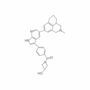 CN1Cc2cc(-c3cnc4[nH]cc(-c5ccc(C(=O)N6CC(O)C6)cc5)c4c3)cc3c2C(CCC3)C1